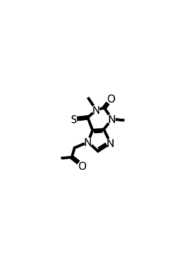 CC(=O)Cn1cnc2c1c(=S)n(C)c(=O)n2C